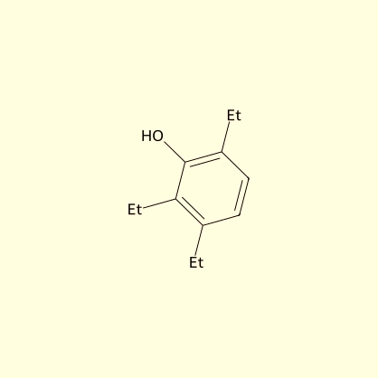 CCc1ccc(CC)c(CC)c1O